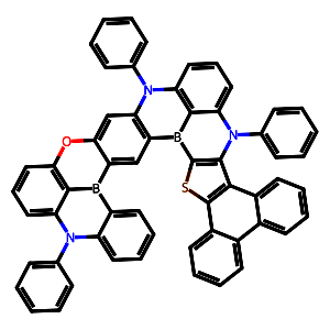 c1ccc(N2c3ccccc3B3c4cc5c(cc4Oc4cccc2c43)N(c2ccccc2)c2cccc3c2B5c2sc4c5ccccc5c5ccccc5c4c2N3c2ccccc2)cc1